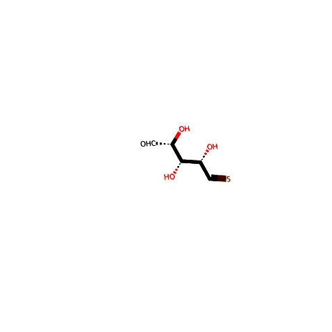 O=C[C@H](O)[C@@H](O)[C@H](O)C=S